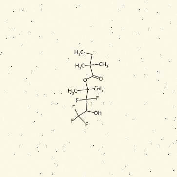 CCC(C)(C)C(=O)OC(C)(C)C(F)(F)C(O)C(F)(F)F